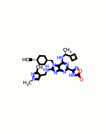 C#C[C@H]1CC[C@H](Cn2c(NCc3cn(C)nc3C)nc3nc(-c4noc(=O)[nH]4)nc(N[C@H](C)C4CCC4)c32)CC1